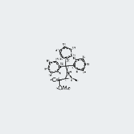 COC(=O)C1[C@H](C)N1C(c1ccccc1)(c1ccccc1)c1ccccc1